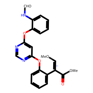 CO/C=C(/C(=O)OC)c1ccccc1Oc1cc(Oc2ccccc2NC=O)ncn1